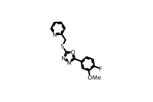 COc1cc(-c2nnc(SCc3ccccn3)o2)ccc1F